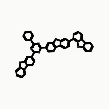 c1ccc(-c2nc(-c3ccc4c(c3)sc3ccccc34)nc(-c3ccc4c(c3)sc3cc(-c5cccc6c5oc5ccccc56)ccc34)n2)cc1